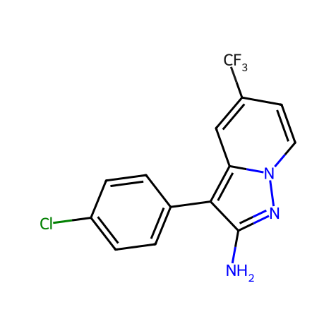 Nc1nn2ccc(C(F)(F)F)cc2c1-c1ccc(Cl)cc1